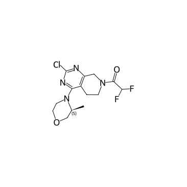 C[C@H]1COCCN1c1nc(Cl)nc2c1CCN(C(=O)C(F)F)C2